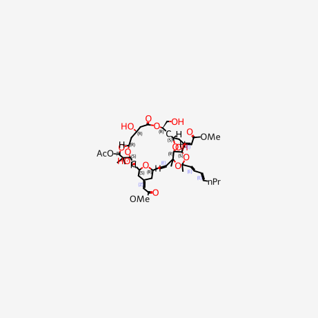 CCC/C=C/C=C/C1(C)O[C@H]2/C(=C/C(=O)OC)C[C@H]3C[C@H](CO)OC(=O)C[C@H](O)C[C@@H]4O[C@H](OC(C)=O)C(C)(C)[C@](O)(C[C@@H]5C/C(=C/C(=O)OC)C[C@H](/C=C/C(C)(O1)[C@]2(O)O3)O5)O4